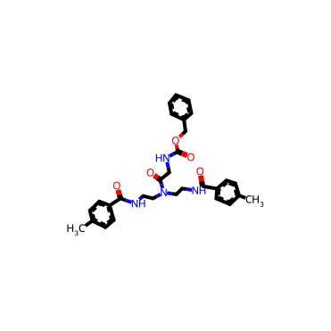 Cc1ccc(C(=O)NCCN(CCNC(=O)c2ccc(C)cc2)C(=O)CNC(=O)OCc2ccccc2)cc1